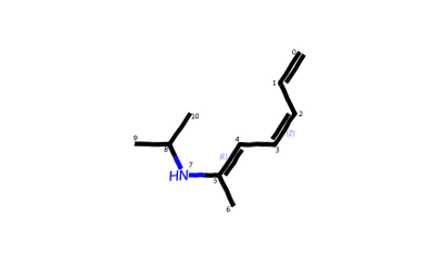 C=C/C=C\C=C(/C)NC(C)C